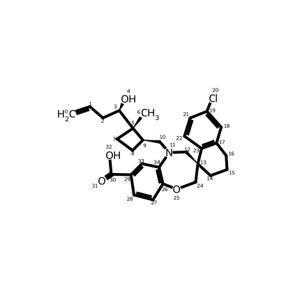 C=CC[C@@H](O)[C@@]1(C)CC[C@@H]1CN1C[C@@]2(CCCc3cc(Cl)ccc32)COc2ccc(C(=O)O)cc21